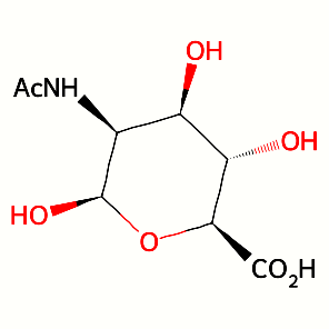 CC(=O)N[C@H]1[C@@H](O)[C@H](O)[C@@H](C(=O)O)O[C@H]1O